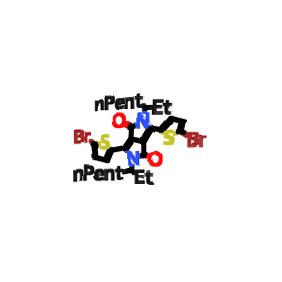 CCCCCC(CC)N1C(=O)C2=C(c3ccc(Br)s3)N(C(CC)CCCCC)C(=O)C2=C1c1ccc(Br)s1